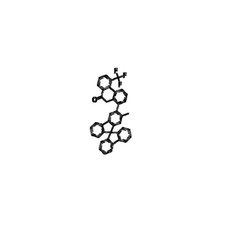 Cc1cc2c(cc1-c1cccc3c1CC(=O)c1cccc(C(F)(F)F)c1-3)-c1ccccc1C21c2ccccc2-c2ccccc21